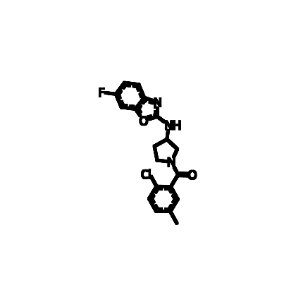 Cc1ccc(Cl)c(C(=O)N2CCC(Nc3nc4ccc(F)cc4o3)C2)c1